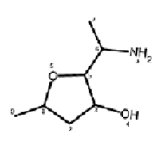 CC1CC(O)C(C(C)N)O1